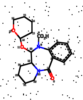 O=C1c2ccccc2N(C(=O)O)C(OC2CCCCO2)C2CCCCN12